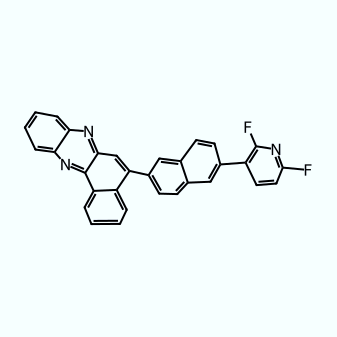 Fc1ccc(-c2ccc3cc(-c4cc5nc6ccccc6nc5c5ccccc45)ccc3c2)c(F)n1